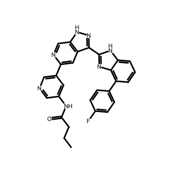 CCCC(=O)Nc1cncc(-c2cc3c(-c4nc5c(-c6ccc(F)cc6)cccc5[nH]4)n[nH]c3cn2)c1